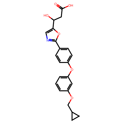 O=C(O)CC(O)c1cnc(-c2ccc(Oc3cccc(OCC4CC4)c3)cc2)o1